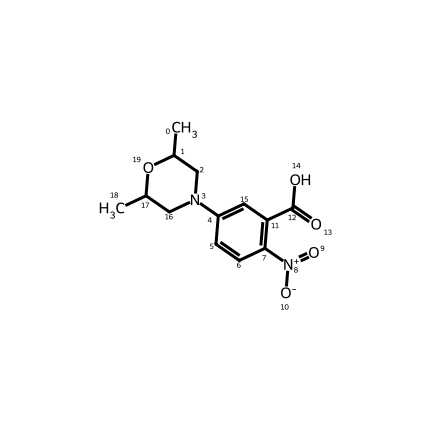 CC1CN(c2ccc([N+](=O)[O-])c(C(=O)O)c2)CC(C)O1